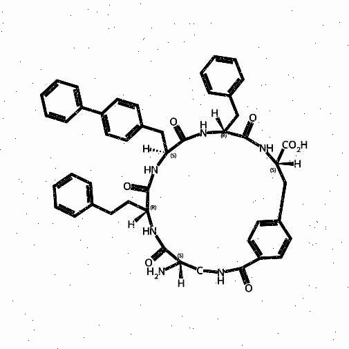 N[C@H]1CNC(=O)c2ccc(cc2)C[C@@H](C(=O)O)NC(=O)[C@@H](Cc2ccccc2)NC(=O)[C@H](Cc2ccc(-c3ccccc3)cc2)NC(=O)[C@@H](CCc2ccccc2)NC1=O